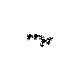 Cc1csc([C@H]2CCCN2C(=O)c2cc(C(=O)N[C@@H](C)CCc3ccc(NCc4cncc(C(C)(C)F)c4)c(O)c3)cc(-c3ncco3)c2)n1